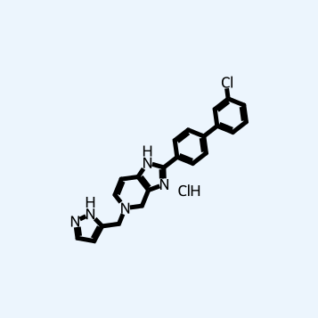 Cl.Clc1cccc(-c2ccc(-c3nc4c([nH]3)C=CN(Cc3ccn[nH]3)C4)cc2)c1